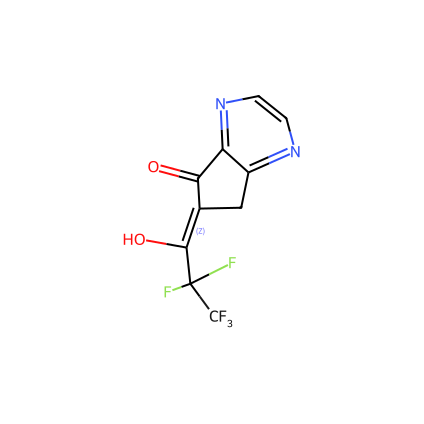 O=C1/C(=C(\O)C(F)(F)C(F)(F)F)Cc2nccnc21